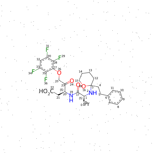 CC(C)[C@H](NC1(CCc2ccccc2)CCCCO1)C(=O)N[C@@H](CC(=O)O)C(=O)COc1c(F)c(F)cc(F)c1F